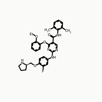 CCOc1ccccc1Oc1nc(Nc2ccc(OC[C@H]3CCCN3)c(F)c2)ncc1C(=O)Nc1c(C)cccc1C